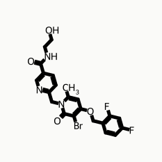 Cc1cc(OCc2ccc(F)cc2F)c(Br)c(=O)n1Cc1ccc(C(=O)NCCO)cn1